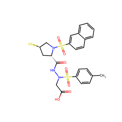 Cc1ccc(S(=O)(=O)N(CC(=O)O)NC(=O)[C@@H]2C[C@@H](S)CN2S(=O)(=O)c2ccc3ccccc3c2)cc1